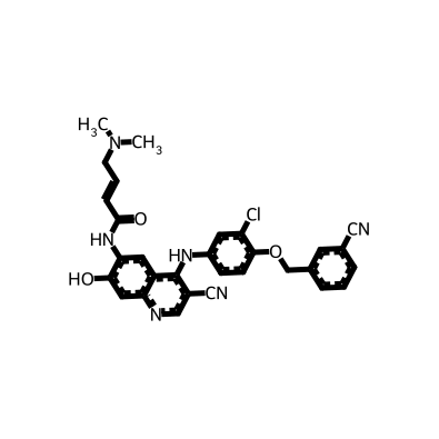 CN(C)C/C=C/C(=O)Nc1cc2c(Nc3ccc(OCc4cccc(C#N)c4)c(Cl)c3)c(C#N)cnc2cc1O